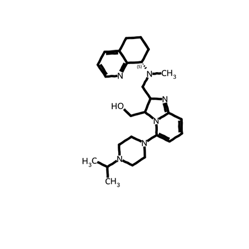 CC(C)N1CCN(C2=CC=CC3=NC(CN(C)[C@H]4CCCc5cccnc54)C(CO)N23)CC1